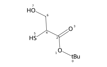 CC(C)(C)OC(=O)C(S)CO